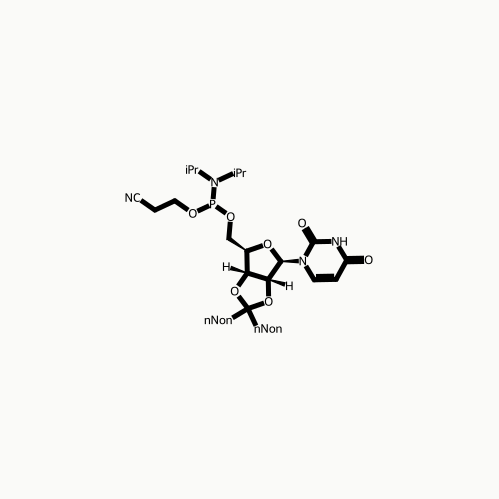 CCCCCCCCCC1(CCCCCCCCC)O[C@@H]2[C@H](O1)[C@@H](COP(OCCC#N)N(C(C)C)C(C)C)O[C@H]2n1ccc(=O)[nH]c1=O